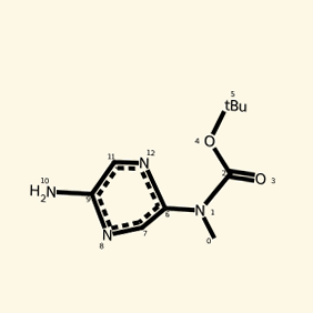 CN(C(=O)OC(C)(C)C)c1cnc(N)cn1